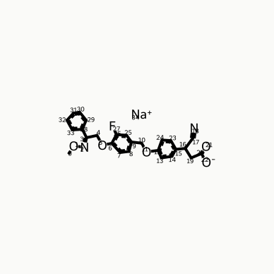 CON=C(COc1ccc(COc2ccc(C(C#N)CC(=O)[O-])cc2)cc1F)c1ccccc1.[Na+]